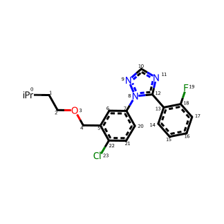 CC(C)CCOCc1cc(-n2ncnc2-c2ccccc2F)ccc1Cl